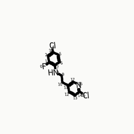 Fc1cc(Cl)ccc1NCCc1ccc(Cl)nc1